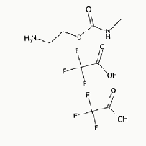 CNC(=O)OCCN.O=C(O)C(F)(F)F.O=C(O)C(F)(F)F